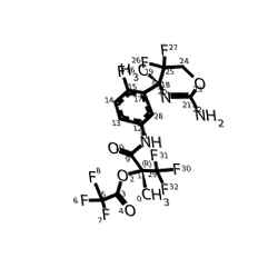 C[C@@](OC(=O)C(F)(F)F)(C(=O)Nc1ccc(F)c([C@@]2(C)N=C(N)OCC2(F)F)c1)C(F)(F)F